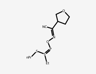 CCCSS(CC)=PON=C(C#N)C1CCOC1